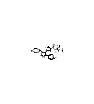 CC(C)NC(=O)c1csc(-c2c(-c3ccc(F)cc3)noc2CN2CCNCC2)n1